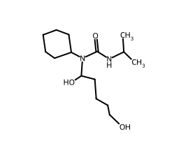 CC(C)NC(=O)N(C(O)CCCCO)C1CCCCC1